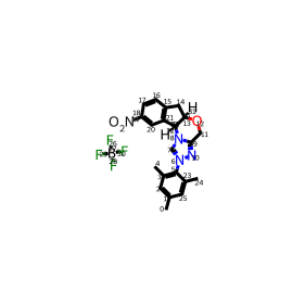 Cc1cc(C)c(-[n+]2cn3c(n2)CO[C@H]2Cc4ccc([N+](=O)[O-])cc4[C@H]23)c(C)c1.F[B-](F)(F)F